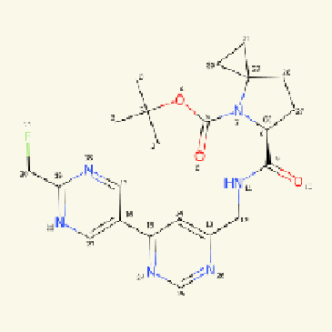 CC(C)(C)OC(=O)N1[C@H](C(=O)NCc2cc(-c3cnc(CF)nc3)ncn2)CCC12CC2